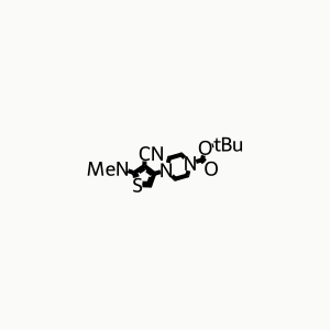 CNc1scc(N2CCN(C(=O)OC(C)(C)C)CC2)c1C#N